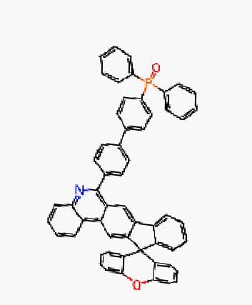 O=P(c1ccccc1)(c1ccccc1)c1ccc(-c2ccc(-c3nc4ccccc4c4cc5c(cc34)-c3ccccc3C53c4ccccc4Oc4ccccc43)cc2)cc1